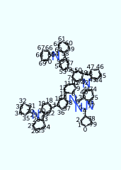 c1ccc(-c2nc(-n3c4ccccc4c4cc(-c5ccc6c(c5)c5ccccc5n6-c5ccccc5)ccc43)c3cc(-n4c5ccccc5c5cc(-c6ccc7c(c6)c6ccccc6n7-c6ccccc6)ccc54)ccc3n2)cc1